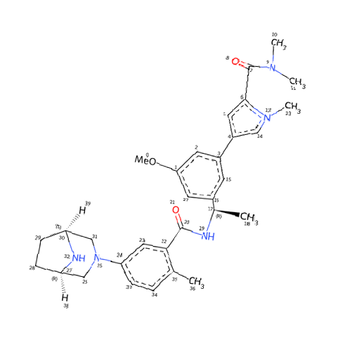 COc1cc(-c2cc(C(=O)N(C)C)n(C)c2)cc([C@@H](C)NC(=O)c2cc(N3C[C@H]4CC[C@@H](C3)N4)ccc2C)c1